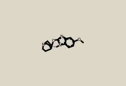 COc1ccc2c(c1)nc1n2C[C@]2(CN3CCC2CC3)O1